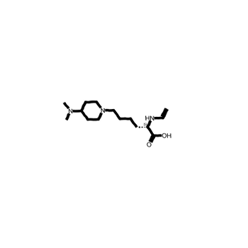 C=CN[C@@H](CCCCN1CCC(N(C)C)CC1)C(=O)O